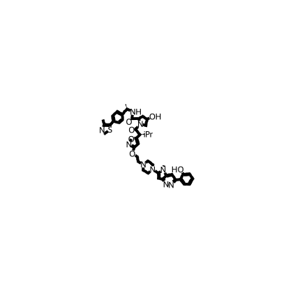 Cc1ncsc1-c1ccc([C@H](C)NC(=O)C2CC(O)CN2C(=O)[C@@H](c2cc(OCCN3CCN(c4cc5nnc(-c6ccccc6O)cc5n4C)CC3)no2)C(C)C)cc1